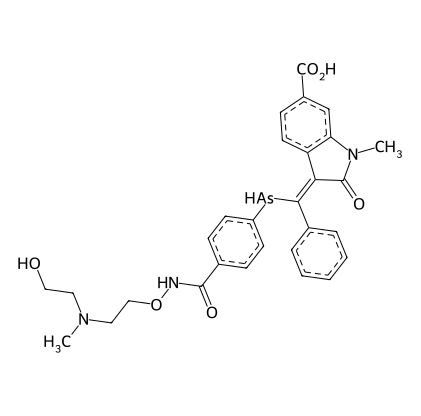 CN(CCO)CCONC(=O)c1ccc([AsH]C(=C2C(=O)N(C)c3cc(C(=O)O)ccc32)c2ccccc2)cc1